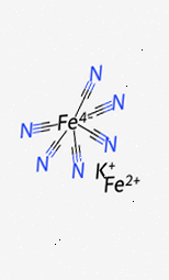 N#[C][Fe-4]([C]#N)([C]#N)([C]#N)([C]#N)[C]#N.[Fe+2].[K+]